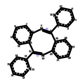 c1ccc(/C2=N/c3ccccc3/C(c3ccccn3)=N\c3ccccc32)nc1